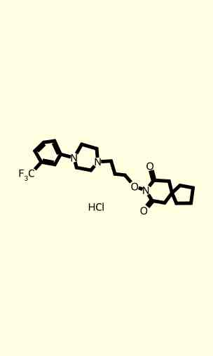 Cl.O=C1CC2(CCCC2)CC(=O)N1OCCCN1CCN(c2cccc(C(F)(F)F)c2)CC1